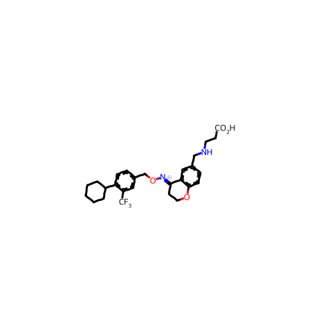 O=C(O)CCNCc1ccc2c(c1)/C(=N/OCc1ccc(C3CCCCC3)c(C(F)(F)F)c1)CCO2